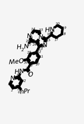 CCCc1ccnc(NC(=O)c2ccc(-c3nc(C4CCCCN4)n4ccnc(N)c34)cc2OC)c1